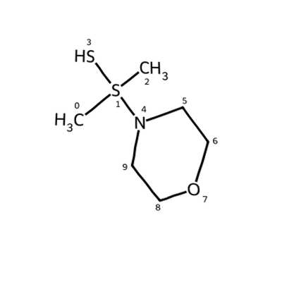 CS(C)(S)N1CCOCC1